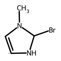 CN1C=[C]NC1Br